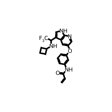 C=CC(=O)Nc1cccc(Oc2cnc3[nH]cc(C(NC4CCC4)C(F)(F)F)c3c2)c1